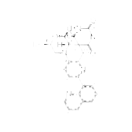 C[C@@H]1CN2c3ccc(-c4cccc5cccnc45)nc3CC3(C(=O)NC(=O)NC3=O)[C@H]2[C@H](C)O1